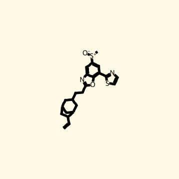 C=CC1CC2CC(CCc3nc4cc([S+](C)[O-])cc(-c5nccs5)c4o3)CC1C2